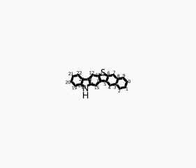 c1ccc2cc3c(cc2c1)sc1cc2c(cc13)[nH]c1ccccc12